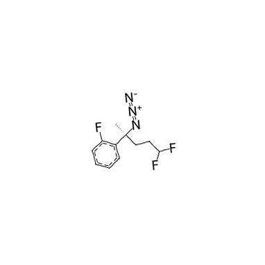 C[C@@](CCC(F)F)(N=[N+]=[N-])c1ccccc1F